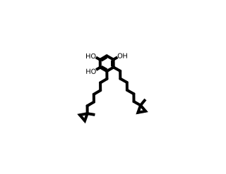 CC1(CCCCCCc2c(O)cc(O)c(O)c2CCCCCCC2(C)CC2)CC1